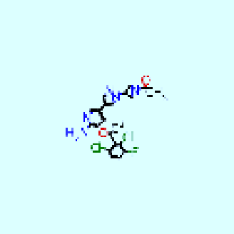 CC(=O)N1CC(n2cc(-c3cnc(N)c(OC(C)c4c(Cl)ccc(F)c4Cl)c3)cn2)C1